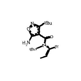 C/C=C(/C(C)C)N(C(=O)c1c(C(C)(C)C)noc1N)C(C)(C)C